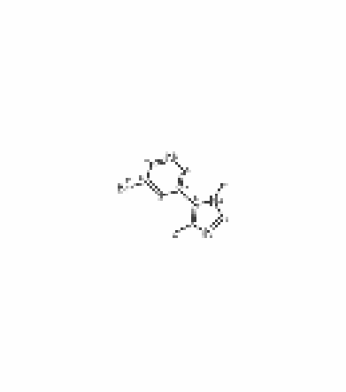 Cc1ncn(C)c1-c1cncc(Br)c1